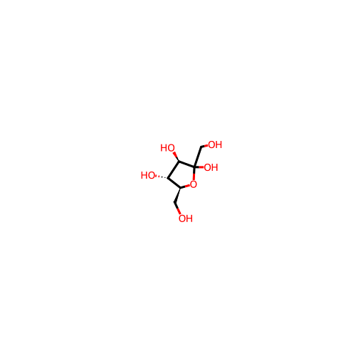 OC[C@@H]1OC(O)(CO)[C@H](O)[C@H]1O